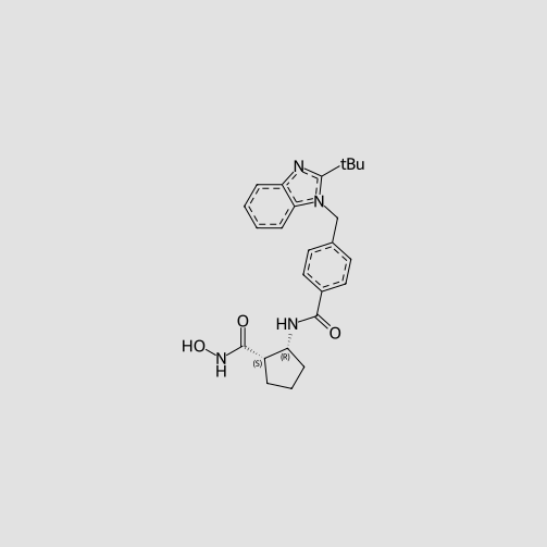 CC(C)(C)c1nc2ccccc2n1Cc1ccc(C(=O)N[C@@H]2CCC[C@@H]2C(=O)NO)cc1